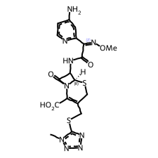 CO/N=C(\C(=O)NC1C(=O)N2C(C(=O)O)=C(CSc3nnnn3C)CS[C@H]12)c1cc(N)ccn1